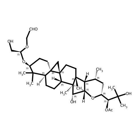 CC(=O)O[C@@H]([C@H]1C[C@@H](C)[C@@H]2[C@H](O1)[C@H](O)[C@@]1(C)[C@@H]3CC[C@H]4C(C)(C)[C@@H](O[C@@H](CO)OCC=O)CC[C@@]45C[C@@]35CC[C@]21C)C(C)(C)O